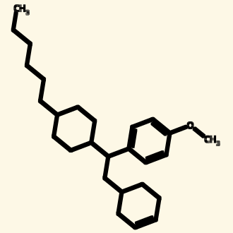 CCCCCCC1CCC(C(CC2CC=CCC2)c2ccc(OC)cc2)CC1